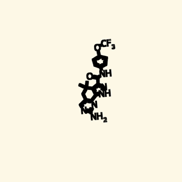 CC1(C)Cc2cnc(N)nc2-c2[nH]nc(C(=O)Nc3ccc(OC(F)(F)F)cc3)c21